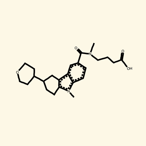 CN(CCCC(=O)O)C(=O)c1ccc2c(c1)c1c(n2C)CCC(C2CCOCC2)C1